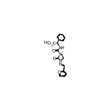 O=C(O)[C@H](NC(=O)N1CCN(/N=C/c2ccco2)C1=O)c1ccccc1